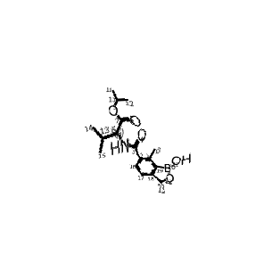 Cc1c(C(=O)N[C@H](C(=O)OC(C)C)C(C)C)ccc2c1B(O)OC2